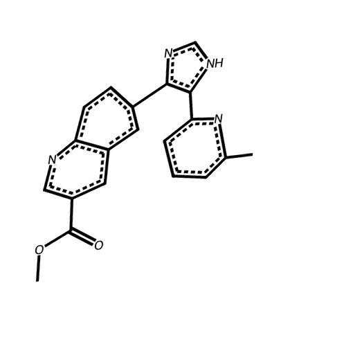 COC(=O)c1cnc2ccc(-c3nc[nH]c3-c3cccc(C)n3)cc2c1